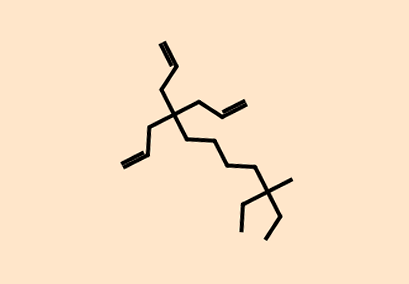 C=CCC(CC=C)(CC=C)CCCCC(C)(CC)CC